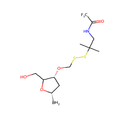 B[C@H]1C[C@@H](OCSSC(C)(C)CNC(=O)C(F)(F)F)C(CO)O1